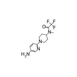 CN(C(=O)C(F)(F)F)C1CCN(c2ccc(N)cn2)CC1